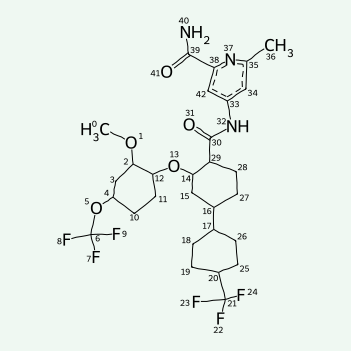 COC1CC(OC(F)(F)F)CCC1OC1CC(C2CCC(C(F)(F)F)CC2)CCC1C(=O)Nc1cc(C)nc(C(N)=O)c1